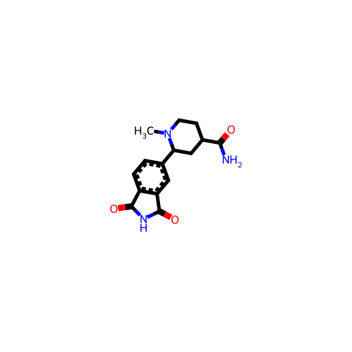 CN1CCC(C(N)=O)CC1c1ccc2c(c1)C(=O)NC2=O